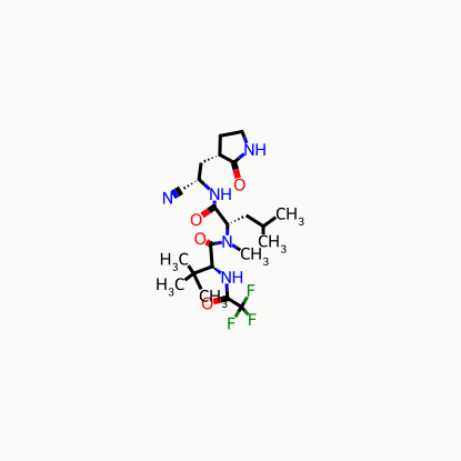 CC(C)C[C@@H](C(=O)N[C@H](C#N)C[C@@H]1CCNC1=O)N(C)C(=O)[C@@H](NC(=O)C(F)(F)F)C(C)(C)C